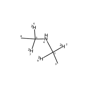 [2H]C([2H])(C)NC([2H])([2H])C